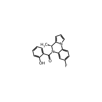 C[C@H]1c2cccn2-c2ccc(F)cc2N1C(=O)c1ccccc1O